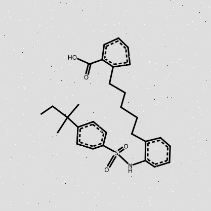 CCC(C)(C)c1ccc(S(=O)(=O)Nc2ccccc2CCCCCc2ccccc2C(=O)O)cc1